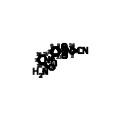 N#CC1CN(S(=O)(=O)c2cccc(C(=O)N3CCCCC3C(N)=O)c2)C1